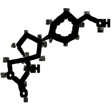 O=C1N[C@@]2(CC[C@H](c3ccc(CO)cc3)C2)CO1